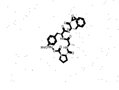 COc1ccc(C[C@H](NC(=O)[C@H](C)NC(=O)[C@@H]2CCCN2C(=O)OC(C)(C)C)C(=O)N[C@@H](Cc2ccccc2)C(=O)[C@H]2CO2)cc1